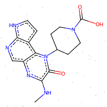 CNc1nc2cnc3[nH]ccc3c2n(C2CCN(C(=O)O)CC2)c1=O